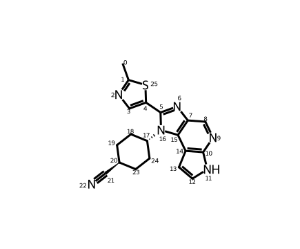 Cc1ncc(-c2nc3cnc4[nH]ccc4c3n2[C@H]2CC[C@H](C#N)CC2)s1